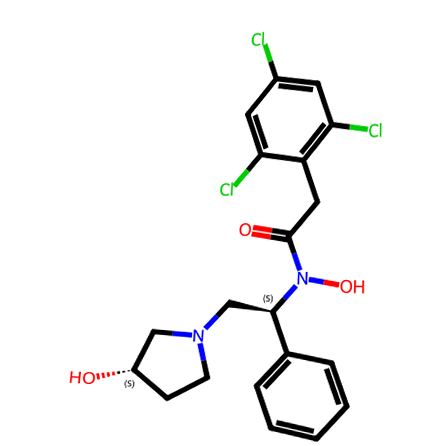 O=C(Cc1c(Cl)cc(Cl)cc1Cl)N(O)[C@H](CN1CC[C@H](O)C1)c1ccccc1